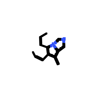 C=c1c(/C=C\C)c(/C=C\C)n2cncc12